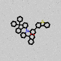 c1ccc(C2(c3ccccc3)c3ccccc3-c3c(N(c4cccc(-c5ccc6sc7ccccc7c6c5)c4)c4ccccc4-c4cccc5ccccc45)cccc32)cc1